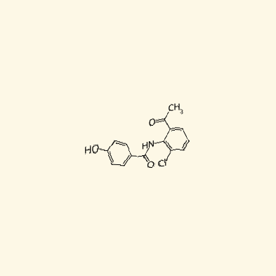 CC(=O)c1cccc(Cl)c1NC(=O)c1ccc(O)cc1